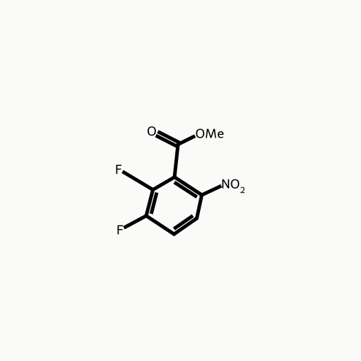 COC(=O)c1c([N+](=O)[O-])ccc(F)c1F